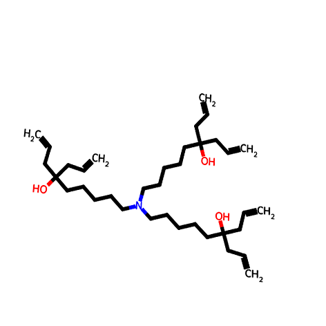 C=CCC(O)(CC=C)CCCCCN(CCCCCC(O)(CC=C)CC=C)CCCCCC(O)(CC=C)CC=C